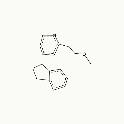 COCCc1ccccn1.c1ccc2c(c1)CCC2